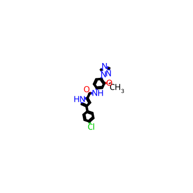 COc1cc(NC(=O)c2cc(-c3ccc(Cl)cc3)c[nH]2)ccc1-n1cncn1